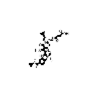 Cc1ccc(C(=O)NC2CC2)cc1Nc1ncnn2cc(C(=O)N(CCC3CC3)C(=O)OCOC(=O)CCC(=O)O)c(C)c12